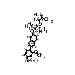 C=C(C)C(=O)OC(C)(C)C(C)(C)Oc1ccc2cc(-c3ccc(CCCCC)cc3OC(F)(F)F)sc2c1